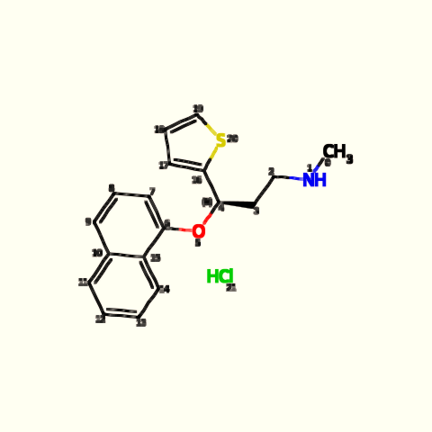 CNCC[C@@H](Oc1cccc2ccccc12)c1cccs1.Cl